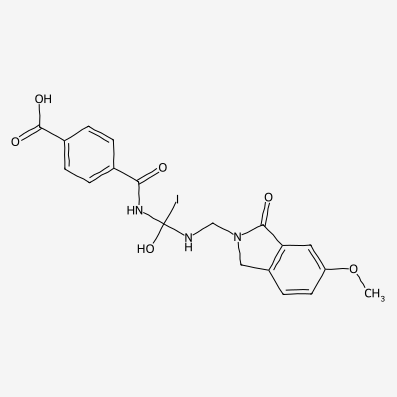 COc1ccc2c(c1)C(=O)N(CNC(O)(I)NC(=O)c1ccc(C(=O)O)cc1)C2